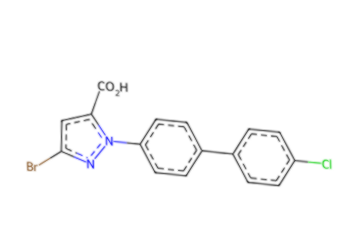 O=C(O)c1cc(Br)nn1-c1ccc(-c2ccc(Cl)cc2)cc1